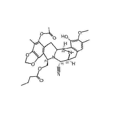 CCCC(=O)OC[C@H]1c2c(c(OC(C)=O)c(C)c3c2OCO3)CC2[C@H]3c4c(cc(C)c(OC)c4O)C[C@@H]([C@H](C#N)N21)N3C